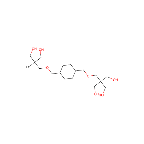 CCC(CO)(CO)COCC1CCC(COCC(CO)(CO)CO)CC1